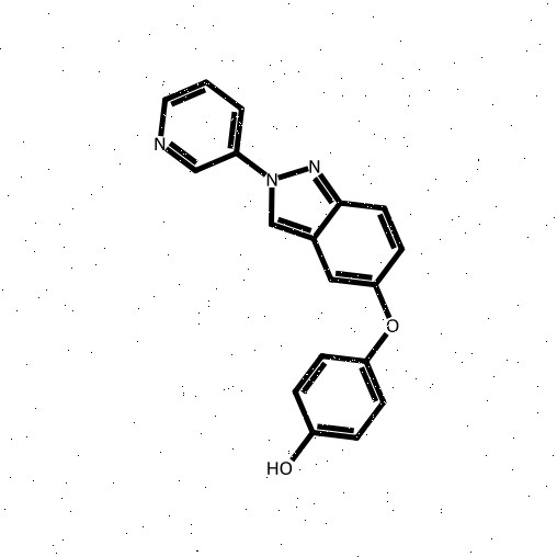 Oc1ccc(Oc2ccc3nn(-c4cccnc4)cc3c2)cc1